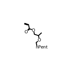 C=CC(=O)OCC(C)OCCCCCC